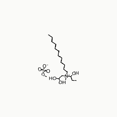 CCCCCCCCCCCC[N+](C)(CC(O)O)C(O)CC.COS(=O)(=O)[O-]